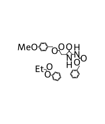 CCC(=O)Oc1ccccc1.COc1ccc(COC(=O)CC2NC(NC(=O)OCc3ccccc3)C2=O)cc1